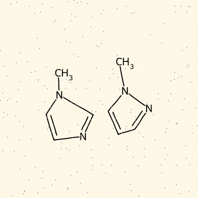 Cn1cccn1.Cn1ccnc1